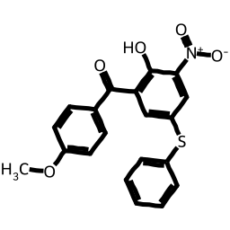 COc1ccc(C(=O)c2cc(Sc3ccccc3)cc([N+](=O)[O-])c2O)cc1